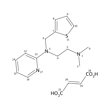 CN(C)CCN(Cc1cccs1)c1ccccn1.O=C(O)/C=C/C(=O)O